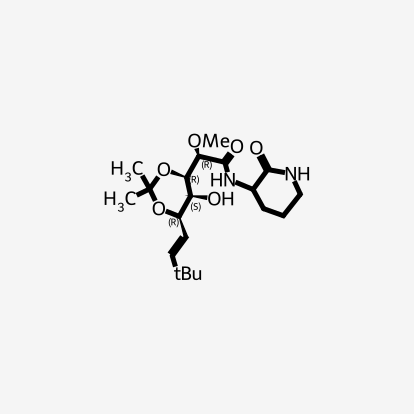 CO[C@@H](C(=O)NC1CCCNC1=O)[C@@H]1OC(C)(C)O[C@H](C=CC(C)(C)C)[C@@H]1O